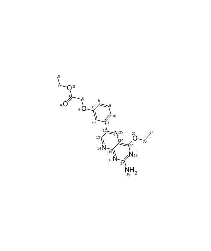 CCOC(=O)COc1cccc(-c2cnc3nc(N)nc(OCC)c3n2)c1